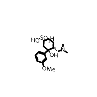 COc1cccc([C@@]2(O)CCCC[C@@H]2CN(C)C)c1.O=S(=O)(O)O